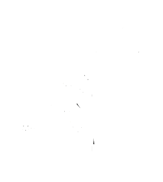 COC(=O)C[C@]1(O)C[C@H]2CC[C@]1(CS(=O)(=O)N1CCC3(C=Cc4ccccc43)CC1)C2(C)C